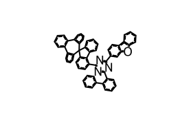 c1ccc(-c2ccccc2-c2nc(-c3ccc4c(c3)oc3ccccc34)nc(-c3cccc4c3-c3ccccc3C43c4ccccc4-c4ccccc4-c4ccccc43)n2)cc1